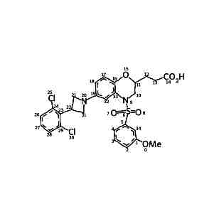 COc1cccc(S(=O)(=O)N2CC(CCC(=O)O)Oc3ccc(N4CC(c5c(Cl)cccc5Cl)C4)cc32)c1